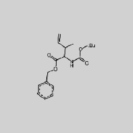 C=CC(C)C(NC(=O)OC(C)(C)C)C(=O)OCc1ccccc1